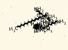 CCCCCCCCCCCCCC(=O)N[C@@H](CCCCN)C(=O)N[C@@H](C)C(=O)N[C@@H](CCCCN)C(=O)N[C@@H](C)B1O[C@@H]2C[C@@H]3C[C@@H](C3(C)C)[C@]2(C)O1